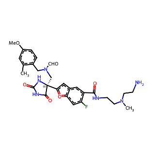 COc1ccc(CN(C=O)C[C@@]2(c3cc4cc(C(=O)NCCN(C)CCN)c(F)cc4o3)NC(=O)NC2=O)c(C)c1